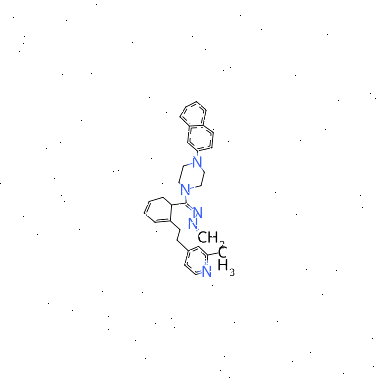 C=N/N=C(\C1CC=CC=C1CCc1ccnc(C)c1)N1CCN(c2ccc3ccccc3c2)CC1